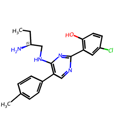 CC[C@H](N)CNc1nc(-c2cc(Cl)ccc2O)ncc1-c1ccc(C)cc1